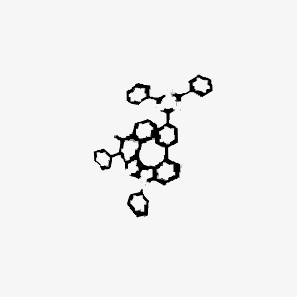 Ic1c(-c2ccccc2)c2oc3c(c4c(-c5ccc(-c6nc(-c7ccccc7)nc(-c7ccccc7)n6)cc5)cccc4n3-c3ccccc3)c2c2ccccc12